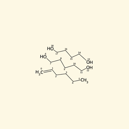 C=CCCCC.OCCCCCO.OCCCCO